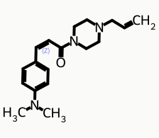 C=CCN1CCN(C(=O)/C=C\c2ccc(N(C)C)cc2)CC1